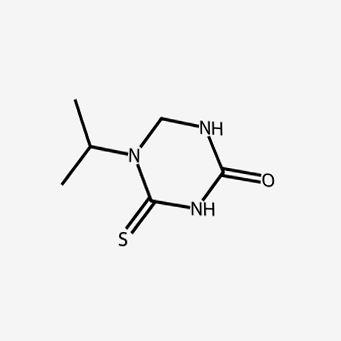 CC(C)N1CNC(=O)NC1=S